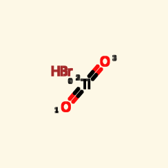 Br.[O]=[Ti]=[O]